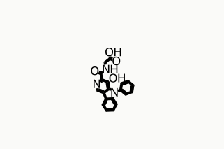 O=C(O)CNC(=O)c1ncc2c3ccccc3n(-c3ccccc3)c2c1O